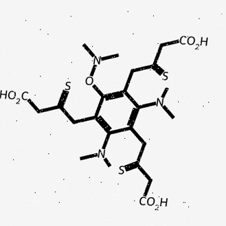 CN(C)Oc1c(CC(=S)CC(=O)O)c(N(C)C)c(CC(=S)CC(=O)O)c(N(C)C)c1CC(=S)CC(=O)O